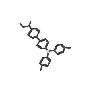 CCC(C)c1ccc(-c2ccc(N(c3ccc(C)cc3)c3ccc(C)cc3)cc2)cc1